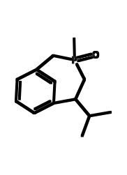 CC(C)C1CP(C)(=O)Cc2cccc1c2